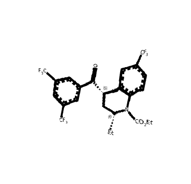 CCOC(=O)N1c2ccc(C(F)(F)F)cc2[C@@H](C(=O)c2cc(C(F)(F)F)cc(C(F)(F)F)c2)C[C@H]1CC